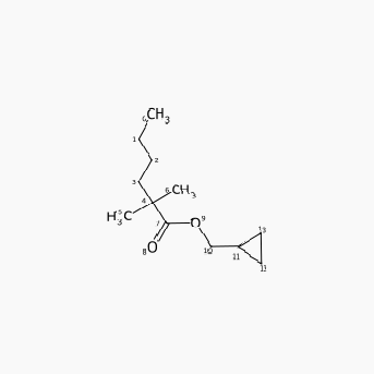 CCCCC(C)(C)C(=O)OCC1CC1